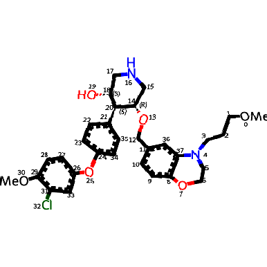 COCCCN1CCOc2ccc(CO[C@H]3CNC[C@@H](O)[C@@H]3c3ccc(Oc4ccc(OC)c(Cl)c4)cc3)cc21